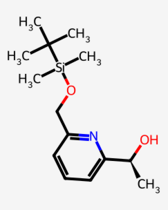 C[C@H](O)c1cccc(CO[Si](C)(C)C(C)(C)C)n1